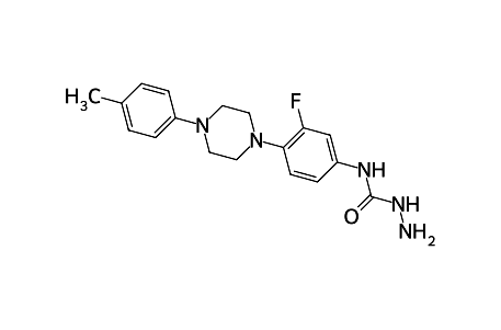 Cc1ccc(N2CCN(c3ccc(NC(=O)NN)cc3F)CC2)cc1